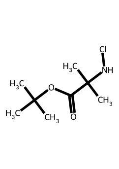 CC(C)(C)OC(=O)C(C)(C)NCl